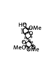 COC1=C(OC)C(=O)C(C2COc3c(ccc(O)c3OC)C2)=CC1=O